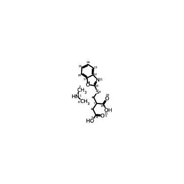 CNC.O=C(O)CC(CSc1nc2ccccc2o1)C(=O)O